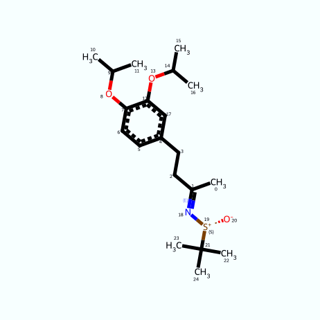 C/C(CCc1ccc(OC(C)C)c(OC(C)C)c1)=N\[S@+]([O-])C(C)(C)C